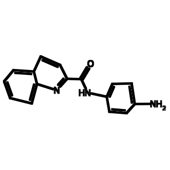 Nc1ccc(NC(=O)c2ccc3ccccc3n2)cc1